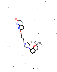 CC1(C)CCc2cccc(N3CCN(CCCCOc4ccc5c(n4)NC(=O)CC5)CC3)c2O1